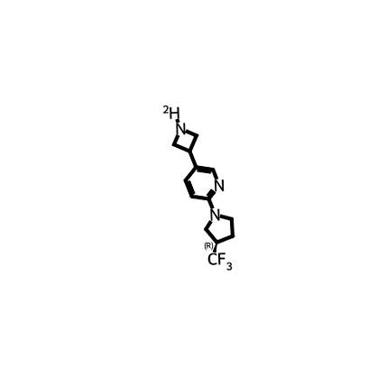 [2H]N1CC(c2ccc(N3CC[C@@H](C(F)(F)F)C3)nc2)C1